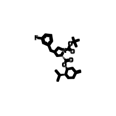 C=C1CC[C@@H](C(C)C)[C@H](OC(=O)[C@@H]2CC(Cc3cccc(F)c3)CN2C(=O)OC(C)(C)C)C1